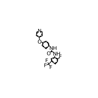 O=C(Nc1ccc(Oc2ccncc2)cc1)Nc1cc(C(F)(F)F)ccc1F